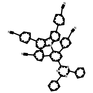 N#Cc1ccc(-c2ccc3c(c2)c2cc(-c4ccc(C#N)cc4)ccc2n3-c2c(-c3ccc(C#N)cc3)cc(-c3nc(-c4ccccc4)nc(-c4ccccc4)n3)cc2-c2ccc(C#N)cc2)cc1